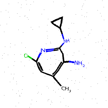 Cc1cc(Cl)nc(NC2CC2)c1N